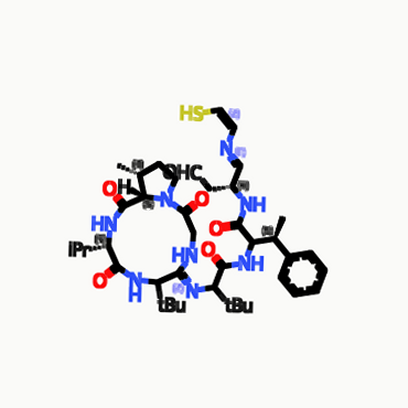 CC(C)[C@@H]1NC(=O)[C@@H]2[C@H](C)CCN2C(=O)CN/C(=N\C(C(=O)NC(C(=O)N[C@@H](/C=N/C=C\S)CC=O)[C@@H](C)c2ccccc2)C(C)(C)C)C(C(C)(C)C)NC1=O